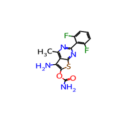 Cc1nc(-c2c(F)cccc2F)nc2sc(OC(N)=O)c(N)c12